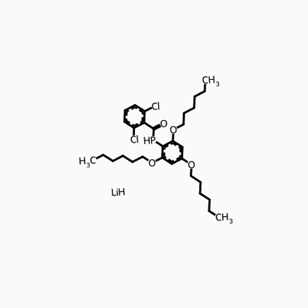 CCCCCCOc1cc(OCCCCCC)c(PC(=O)c2c(Cl)cccc2Cl)c(OCCCCCC)c1.[LiH]